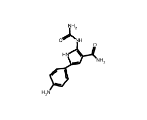 NC(=O)Nc1[nH]c(-c2ccc(N)cc2)cc1C(N)=O